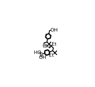 CCC(C)(C)C(CC(C)(CC)C(C)(C)C(CC(C)(C)C)c1ccc(CO)cc1)c1ccc(B(O)O)cc1